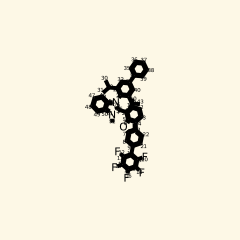 Cc1ccc2c(oc3cc(-c4c(F)c(F)c(F)c(F)c4F)ccc32)c1-c1n(-c2c(C(C)C)cc(-c3ccccc3)cc2C(C)C)c2ccccc2[n+]1C